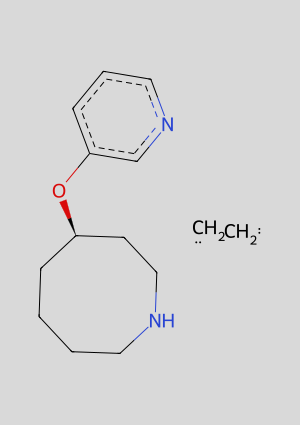 [CH2].[CH2].c1cncc(O[C@@H]2CCCCNCC2)c1